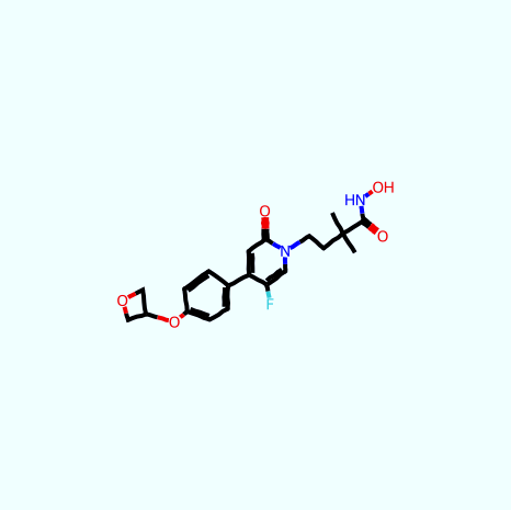 CC(C)(CCn1cc(F)c(-c2ccc(OC3COC3)cc2)cc1=O)C(=O)NO